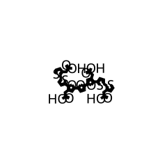 O=C(O)Cc1cc(-c2ccc(-c3cc(CC(=O)O)c(-c4ccc(-c5sccc5CC(=O)O)s4)o3)o2)oc1-c1ccc(-c2sccc2CC(=O)O)s1